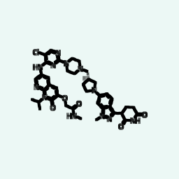 CNC(=O)COc1cc2cc(Nc3nc(N4CCN(C[C@H]5CCN(c6ccc7c(C8CCC(=O)NC8=O)nn(C)c7c6)C5)CC4)ncc3Cl)cnc2n(C(C)C)c1=O